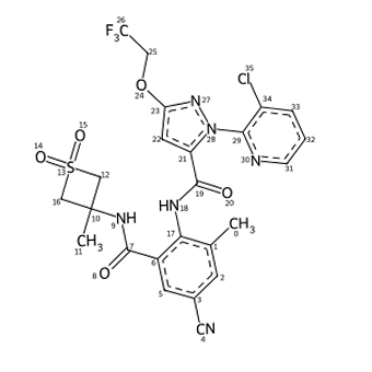 Cc1cc(C#N)cc(C(=O)NC2(C)CS(=O)(=O)C2)c1NC(=O)c1cc(OCC(F)(F)F)nn1-c1ncccc1Cl